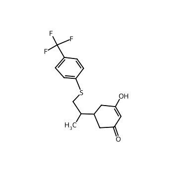 CC(CSc1ccc(C(F)(F)F)cc1)C1CC(=O)C=C(O)C1